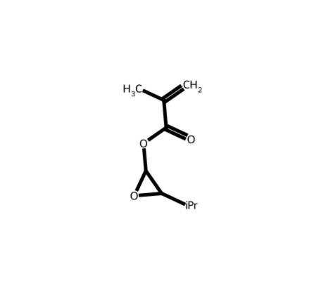 C=C(C)C(=O)OC1OC1C(C)C